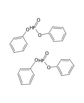 O=[PH](Oc1ccccc1)Oc1ccccc1.O=[PH](Oc1ccccc1)Oc1ccccc1